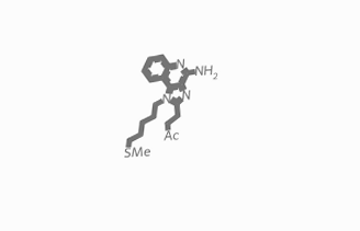 CSCCCCCn1c(CCC(C)=O)nc2c(N)nc3ccccc3c21